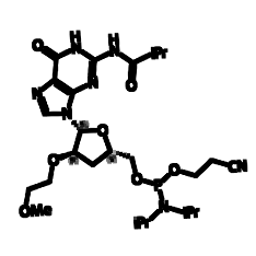 COCCO[C@@H]1C[C@@H](COP(OCCC#N)N(C(C)C)C(C)C)O[C@H]1n1cnc2c(=O)[nH]c(NC(=O)C(C)C)nc21